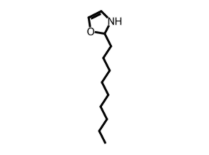 CCCCCCCCCC1NC=CO1